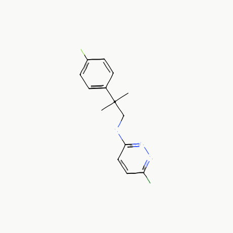 CC(C)(CNc1ccc(Cl)nn1)c1ccc(F)cc1